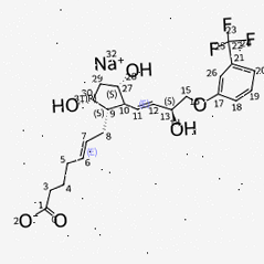 O=C([O-])CCC/C=C/C[C@H]1C(/C=C/[C@H](O)COc2cccc(C(F)(F)F)c2)[C@@H](O)C[C@H]1O.[Na+]